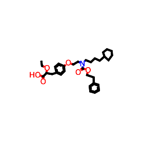 CCOC(Cc1ccc(OCCN(CCCCC2CCCCC2)C(=O)OCCc2ccccc2)cc1)C(=O)O